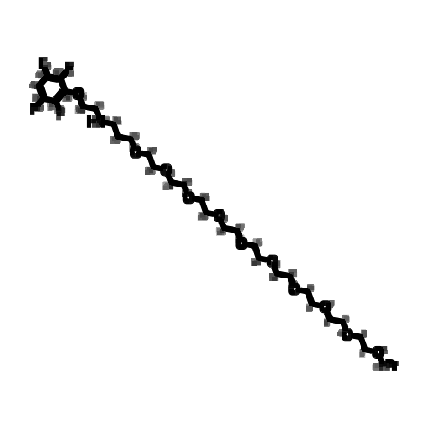 CCCOCCOCCOCCOCCOCCOCCOCCOCCOCCOCCCNCCOc1c(F)c(F)cc(F)c1F